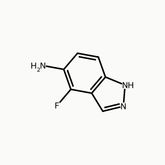 Nc1ccc2[nH]ncc2c1F